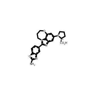 Nc1nc2cc(-c3nc4cc(N5CCC[C@H]5C(=O)O)cc5c4n3CCCO5)ccc2o1